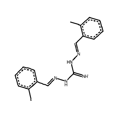 Cc1ccccc1/C=N/NC(=N)N/N=C/c1ccccc1C